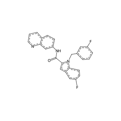 O=C(Nc1ccc2cccnc2c1)c1cc2cc(F)ccc2n1Cc1cccc(F)c1